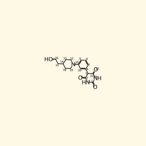 O=C1NC(=O)C(c2cccc(N3CCC(CCO)CC3)c2)C(=O)N1